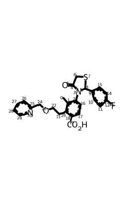 Cc1c(N2C(=O)CSC2c2ccc(F)cc2)ccc(C(=O)O)c1CCOCc1ccccn1